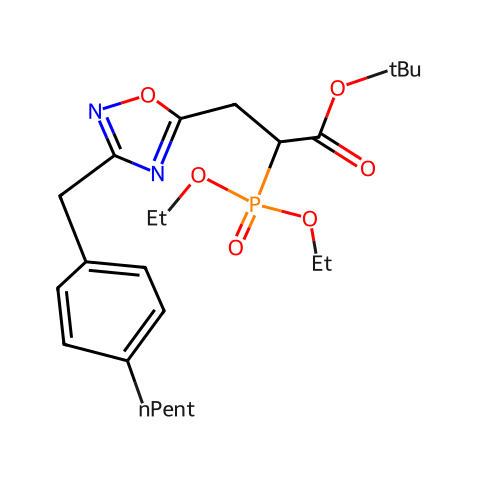 CCCCCc1ccc(Cc2noc(CC(C(=O)OC(C)(C)C)P(=O)(OCC)OCC)n2)cc1